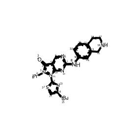 CC(C)n1c(=O)c2cnc(Nc3ccc4c(c3)CNCC4)nc2n1-c1nc(C(C)(C)C)cs1